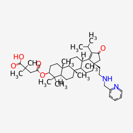 CC(C)C1=C2[C@H]3CCC4[C@@]5(C)CC[C@H](OC(=O)CC(C)(C)C(=O)O)C(C)(C)[C@@H]5CC[C@@]4(C)[C@]3(C)CC[C@@]2(CCNCc2ccccn2)CC1=O